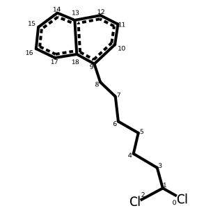 ClC(Cl)CCCCCCc1cccc2ccccc12